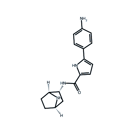 Nc1ccc(-c2ccc(C(=O)N[C@@H]3C[C@H]4CC[C@@H]3N4)[nH]2)cc1